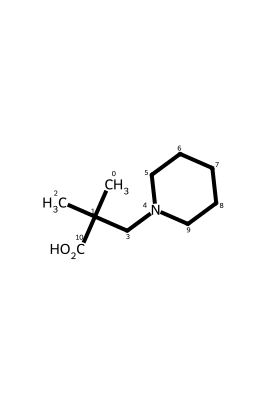 CC(C)(CN1CCCCC1)C(=O)O